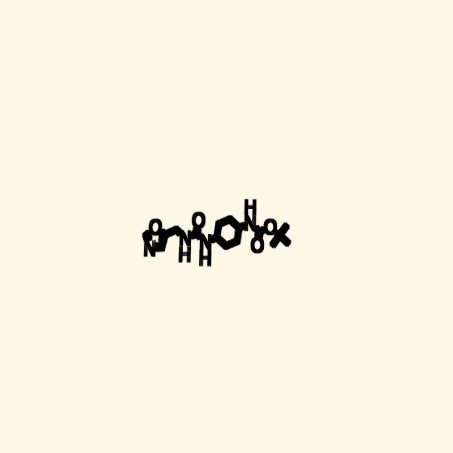 CC(C)(C)OC(=O)NC1CCC(NC(=O)NCc2cnco2)CC1